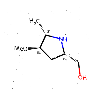 CO[C@@H]1C[C@@H](CO)N[C@H]1C